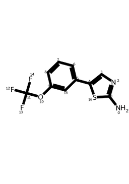 Nc1ncc(-c2cccc(OC(F)(F)F)c2)s1